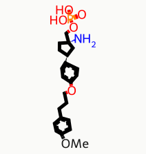 COc1ccc(CCCOc2ccc([C@@H]3CC[C@@](N)(COP(=O)(O)O)C3)cc2)cc1